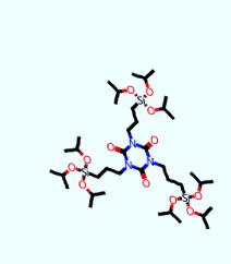 CC(C)O[Si](CCCn1c(=O)n(CCC[Si](OC(C)C)(OC(C)C)OC(C)C)c(=O)n(CCC[Si](OC(C)C)(OC(C)C)OC(C)C)c1=O)(OC(C)C)OC(C)C